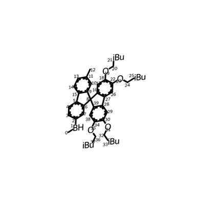 CBc1ccc2c(c1)C1(c3cc(C)ccc3-2)c2cc(OCC(C)CC)c(OCC(C)CC)cc2-c2cc(OCC(C)CC)c(OCC(C)CC)cc21